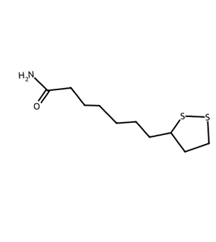 NC(=O)CCCCCCC1CCSS1